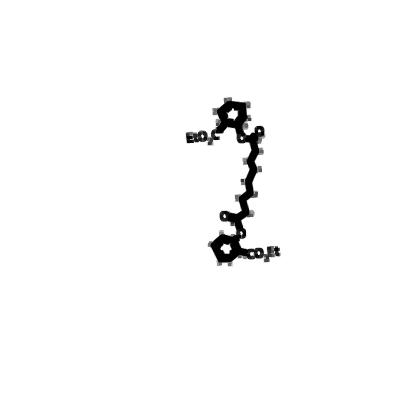 CCOC(=O)c1ccccc1OC(=O)CCCCCCCC(=O)Oc1ccccc1C(=O)OCC